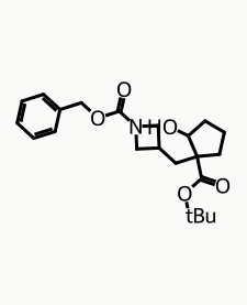 CC(C)(C)OC(=O)C1(CC2CN(C(=O)OCc3ccccc3)C2)CCCC1O